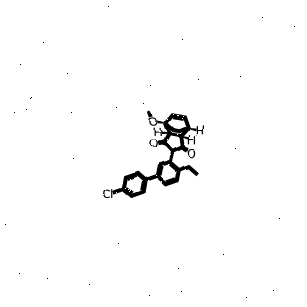 CCc1ccc(-c2ccc(Cl)cc2)cc1C1C(=O)[C@H]2[C@H]3C=C[C@](OC)(CC3)[C@H]2C1=O